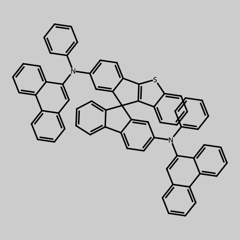 c1ccc(N(c2ccc3c(c2)C2(c4ccccc4-3)c3cc(N(c4ccccc4)c4cc5ccccc5c5ccccc45)ccc3-c3sc4ccccc4c32)c2cc3ccccc3c3ccccc23)cc1